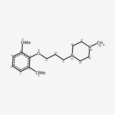 COc1c[c]cc(OC)c1OCCCN1CCN(C)CC1